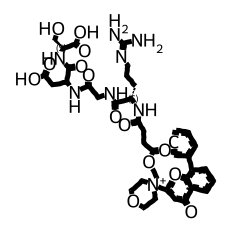 NC(N)=NCCC[C@H](NC(=O)CCC(=O)OC[N+]1(c2cc(=O)c3cccc(-c4ccccc4)c3o2)CCOCC1)C(=O)NCC(=O)NC(CC(=O)O)C(=O)N[C@@H](CO)C(=O)O